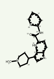 CN1CCC(c2cnc3ccc(C(=O)Nc4ccccn4)[nH]c2-3)CC1